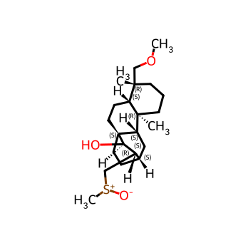 COC[C@]1(C)CCC[C@]2(C)[C@@H]1CC[C@@]13CC[C@@H](C[C@@H]21)[C@H](C[S+](C)[O-])[C@H]3O